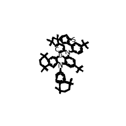 CC(C)(C)c1cc2c3c(c1)N(c1ccc(C(C)(C)C)c4sc5ccccc5c14)c1cc4c(cc1B3c1cc3c(cc1N2c1ccc2c(c1)C(C)(C)CCC2(C)C)C(C)(C)CCC3(C)C)C(C)(C)CC4(C)C